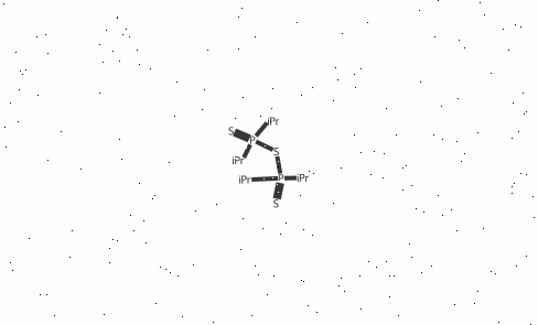 CC(C)P(=S)(SP(=S)(C(C)C)C(C)C)C(C)C